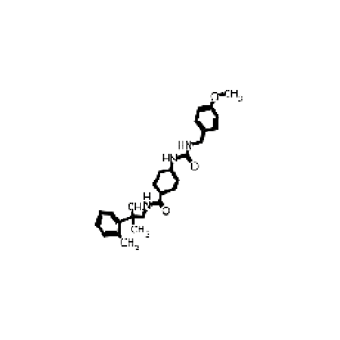 COc1ccc(CNC(=O)NC2CCC(C(=O)NCC(C)(C)c3ccccc3C)CC2)cc1